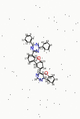 c1ccc(-c2nc(-c3ccccc3)nc(-c3cccc4c3oc3ccc(-c5ncnc6c5oc5ccccc56)cc34)n2)cc1